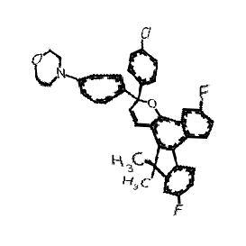 CC1(C)c2cc(F)ccc2-c2c1c1c(c3cc(F)ccc23)OC(c2ccc(Cl)cc2)(c2ccc(N3CCOCC3)cc2)C=C1